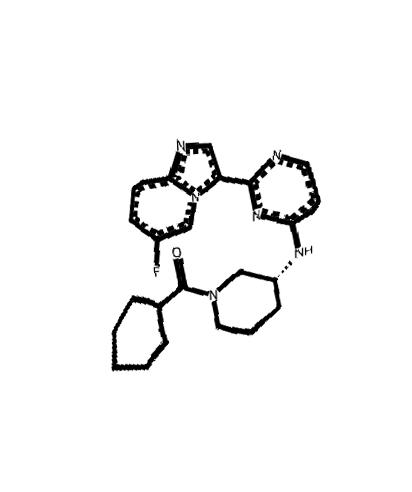 O=C(C1CCCCC1)N1CCC[C@@H](Nc2ccnc(-c3cnc4ccc(F)cn34)n2)C1